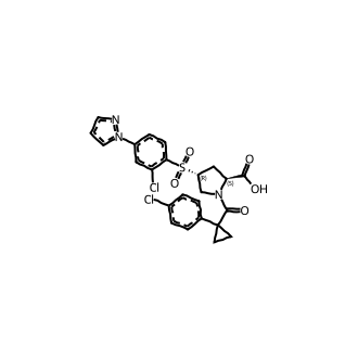 O=C(O)[C@@H]1C[C@@H](S(=O)(=O)c2ccc(-n3cccn3)cc2Cl)CN1C(=O)C1(c2ccc(Cl)cc2)CC1